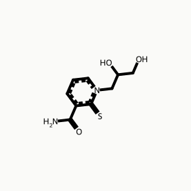 NC(=O)c1cccn(CC(O)CO)c1=S